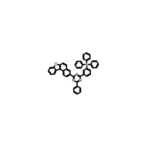 c1ccc(-c2nc(-c3cccc([Si](c4ccccc4)(c4ccccc4)c4ccccc4)c3)nc(-c3ccc4c(ccc5oc6ccccc6c54)c3)n2)cc1